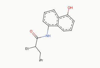 CCC(CC(C)C)C(=O)Nc1cccc2c(O)cccc12